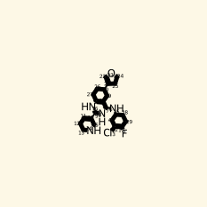 FC1=C(Cl)C[C@@H](N[C@H]2N[C@@H](C3=CCCNC3)NC3=C2C[C@H](C2=COCC2)CC3)CC1